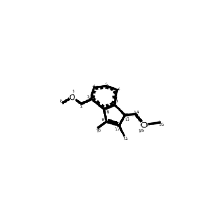 COCc1cccc2c1C(C)=C(C)C2COC